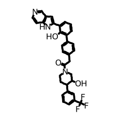 O=C(Cc1ccc(-c2cccc(-c3cc4cnccc4[nH]3)c2O)cc1)N1CCC(c2cccc(C(F)(F)F)c2)C(O)C1